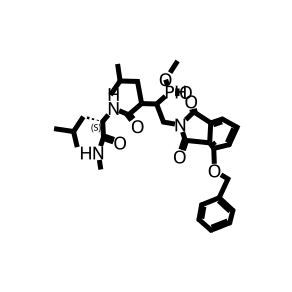 CNC(=O)[C@H](CC(C)C)NC(=O)C(CC(C)C)C(CN1C(=O)c2cccc(OCc3ccccc3)c2C1=O)[PH](=O)OC